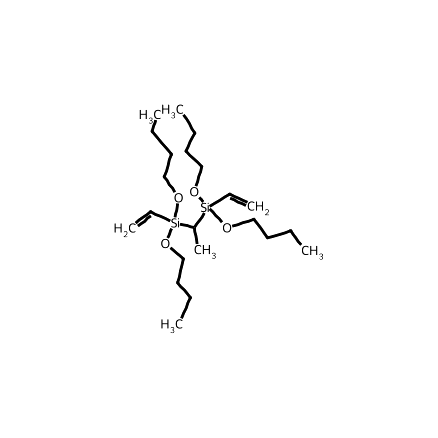 C=C[Si](OCCCC)(OCCCC)C(C)[Si](C=C)(OCCCC)OCCCC